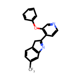 FC(F)(F)c1ccc2c(c1)N=C(c1ccncc1Oc1ccccc1)C2